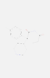 O=C1CCC(c2ccc(F)cc2)(C2CCNCC2)C(=O)N1